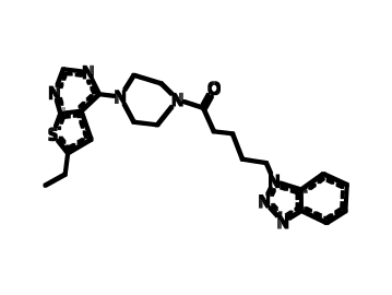 CCc1cc2c(N3CCN(C(=O)CCCCn4nnc5ccccc54)CC3)ncnc2s1